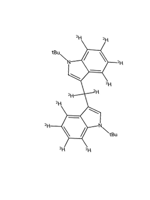 [2H]c1c([2H])c([2H])c2c(c(C([2H])([2H])c3cn(C(C)(C)C)c4c([2H])c([2H])c([2H])c([2H])c34)cn2C(C)(C)C)c1[2H]